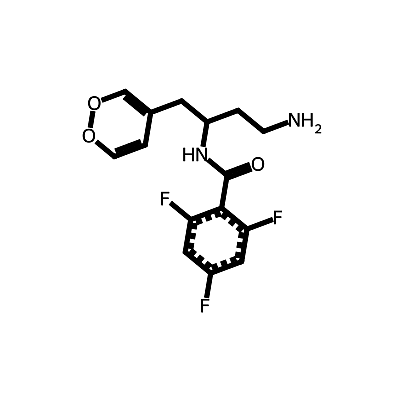 NCCC(CC1=COOC=C1)NC(=O)c1c(F)cc(F)cc1F